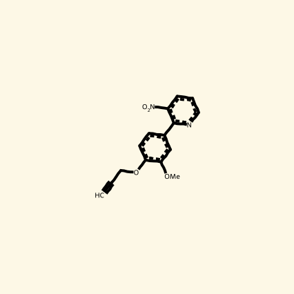 C#CCOc1ccc(-c2ncccc2[N+](=O)[O-])cc1OC